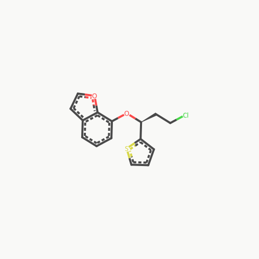 ClCC[C@H](Oc1cccc2ccoc12)c1cccs1